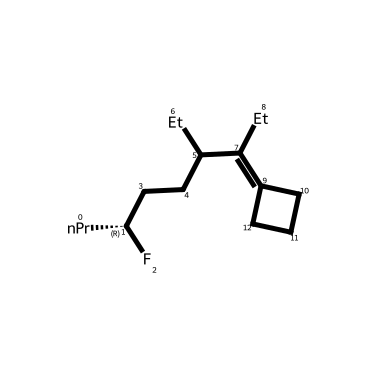 CCC[C@@H](F)CCC(CC)C(CC)=C1CCC1